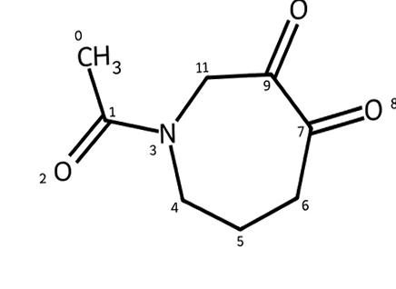 CC(=O)N1CCCC(=O)C(=O)C1